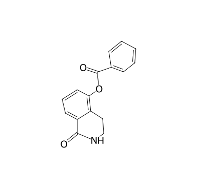 O=C(Oc1cccc2c1CCNC2=O)c1ccccc1